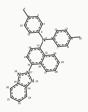 Cc1ccc(N(c2ccc(C)cc2)c2ccc(-n3nc4ccccc4n3)c3ccccc23)cc1